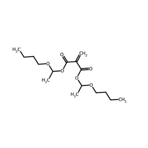 C=C(C(=O)OC(C)OCCCC)C(=O)OC(C)OCCCC